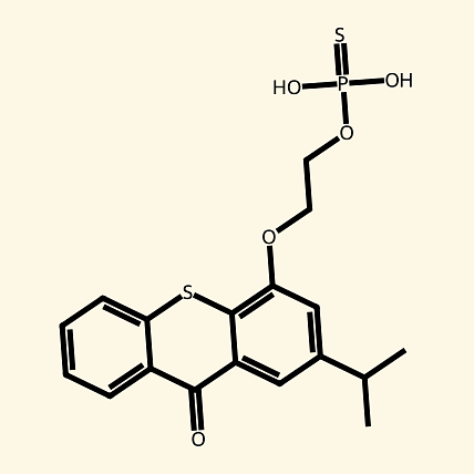 CC(C)c1cc(OCCOP(O)(O)=S)c2sc3ccccc3c(=O)c2c1